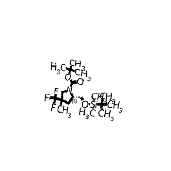 CC(C)(C)OC(=O)N1CC(C)(C(F)(F)F)C[C@H]1CO[Si](C)(C)C(C)(C)C